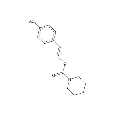 CC(=O)c1ccc(/C=C/OC(=O)N2CCCCC2)cc1